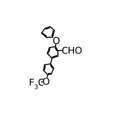 O=Cc1cc(-c2ccc(OC(F)(F)F)cc2)ccc1Oc1ccccc1